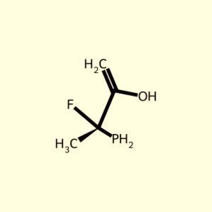 C=C(O)[C@@](C)(F)P